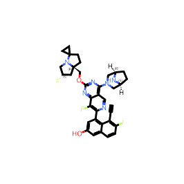 C#Cc1c(F)ccc2cc(O)cc(-c3ncc4c(N5C[C@H]6CC[C@@H](C5)N6)nc(OC[C@]56CCC7(CC7)N5C[C@@H](F)C6)nc4c3F)c12